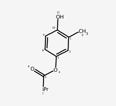 Cc1cc(OC(=O)C(C)C)ccc1O